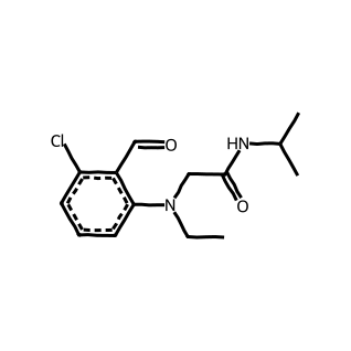 CCN(CC(=O)NC(C)C)c1cccc(Cl)c1C=O